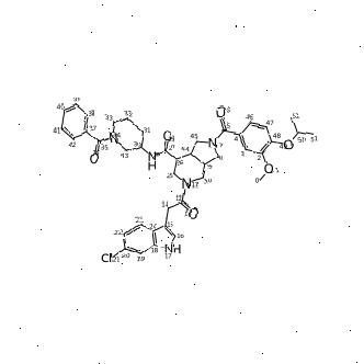 COc1cc(C(=O)N2CC3CN(C(=O)Cc4c[nH]c5cc(Cl)ccc45)CC(C(=O)NC4CCCN(C(=O)c5ccccc5)C4)C3C2)ccc1OC(C)C